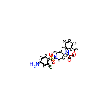 Nc1ccc(S(=O)(=O)N2CCC(N3C(=O)OCc4ccccc43)CC2)c(Cl)c1